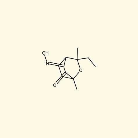 CCC1(C)OC2(C)CCC1C(=NO)C2=O